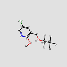 COc1ncc(Br)cc1CO[Si](C)(C)C(C)(C)C